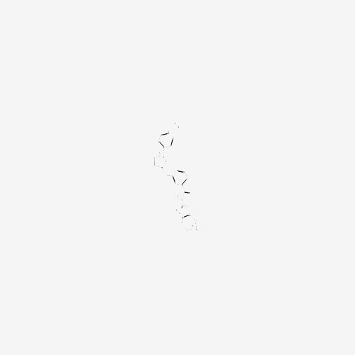 CN1CCc2nc(NC(=O)c3cccc(OC4CCN(c5ccc(C#N)cc5)C4)c3)sc2C1